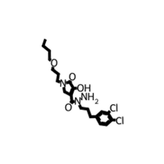 CCCCOCCCN1CC(C(=O)N(N)CCCc2ccc(Cl)c(Cl)c2)=C(O)C1=O